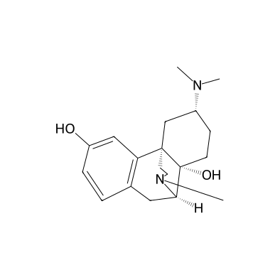 CN(C)[C@@H]1CC[C@@]2(O)[C@H]3Cc4ccc(O)cc4[C@@]2(CCN3C)C1